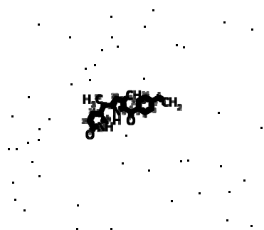 C=Cc1ccc(C(=O)c2[nH]c(C(C)c3ccc(=O)[nH]n3)cc2C)cc1